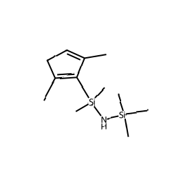 CC1=CCC(C)=C1[Si](C)(C)N[Si](C)(C)C